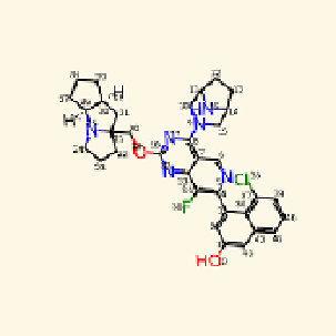 Oc1cc(-c2ncc3c(N4CC5CCC(C4)N5)nc(OCC45CCCN4[C@H]4CCC[C@H]4C5)nc3c2F)c2c(Cl)cccc2c1